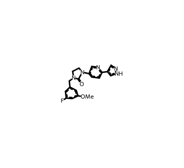 COc1cc(F)cc(CN2CCN(c3ccc(-c4cn[nH]c4)nc3)C2=O)c1